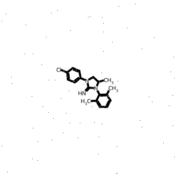 Cc1cccc(C)c1N1C(=N)N(c2ccc(Cl)cc2)CC1C